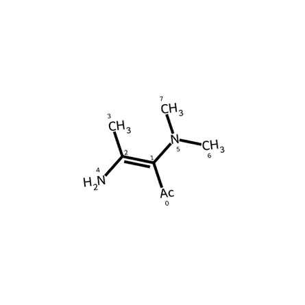 CC(=O)/C(=C(/C)N)N(C)C